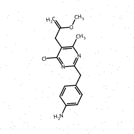 C=C(Cc1c(C)nc(Cc2ccc(N)cc2)nc1Cl)OC